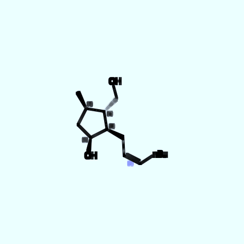 CCCC/C=C\C[C@@H]1[C@@H](CO)[C@H](C)C[C@@H]1O